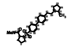 CNC(=O)C1CCCN1S(=O)(=O)c1ccc(-c2ccc(CCN3CCCC3C)cc2)cc1